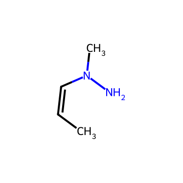 C/C=C\N(C)N